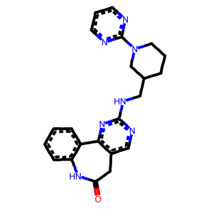 O=C1Cc2cnc(NCC3CCCN(c4ncccn4)C3)nc2-c2ccccc2N1